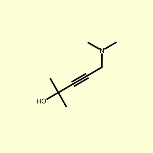 CN(C)CC#CC(C)(C)O